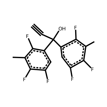 C#CC(O)(c1cc(F)c(F)c(C)c1F)c1cc(F)c(F)c(C)c1F